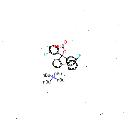 CCCC[N+](CCCC)(CCCC)CCCC.[O-]B(O)OC(c1cccc(F)c1)(c1cccc(F)c1)c1ccccc1-c1cccc(F)c1